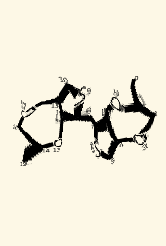 CC1COc2csc(-c3scc4c3OC(C)CO4)c2O1